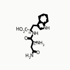 NC(=O)C[C@H](N)C(=O)N[C@@H](Cc1c[nH]c2ccccc12)C(=O)O